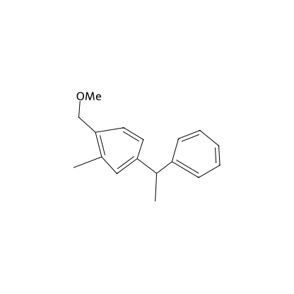 COCc1ccc(C(C)c2ccccc2)cc1C